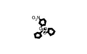 O=[N+]([O-])c1cccc(OP(=O)(Oc2ccccc2)c2ccccc2)c1